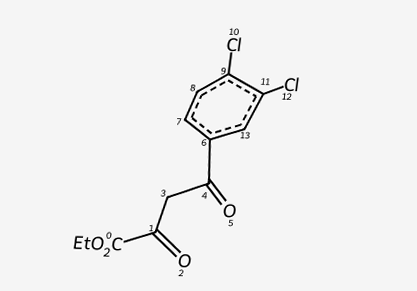 CCOC(=O)C(=O)CC(=O)c1ccc(Cl)c(Cl)c1